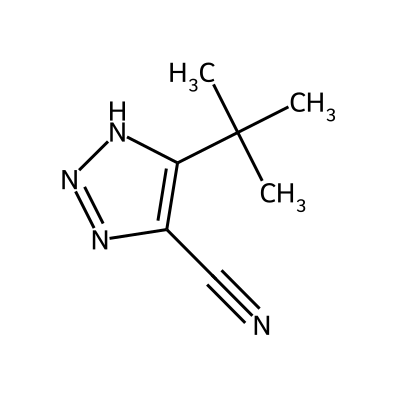 CC(C)(C)c1[nH]nnc1C#N